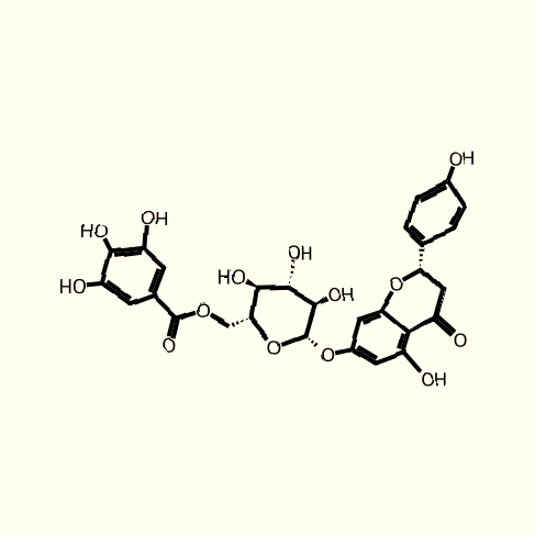 O=C(OC[C@H]1O[C@@H](Oc2cc(O)c3c(c2)O[C@H](c2ccc(O)cc2)CC3=O)[C@H](O)[C@@H](O)[C@@H]1O)c1cc(O)c(O)c(O)c1